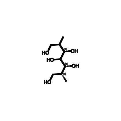 CC(CO)[C@@H](O)C(O)[C@H](O)[C@H](C)CO